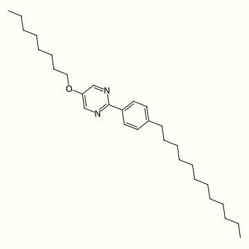 CCCCCCCCCCCCc1ccc(-c2ncc(OCCCCCCCC)cn2)cc1